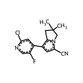 CC1(C)Cc2c(-c3cc(Cl)ncc3F)cc(C#N)n2C1